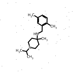 Cc1ccc(C)c(CNC2(C)CCN(C(C)C)CC2)c1